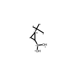 CC(C)(C)[C@@H]1CC1B(O)O